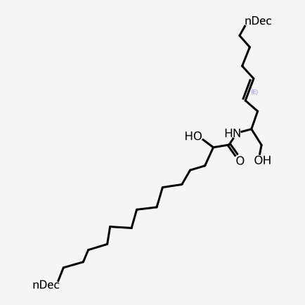 CCCCCCCCCCCCC/C=C/CC(CO)NC(=O)C(O)CCCCCCCCCCCCCCCCCCCCCC